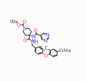 COc1ccc(Oc2ccc(CNC(=O)C3(NC(=O)c4cncnc4)CCN(C(=O)OC(C)(C)C)CC3)cc2)c(C(F)(F)F)c1